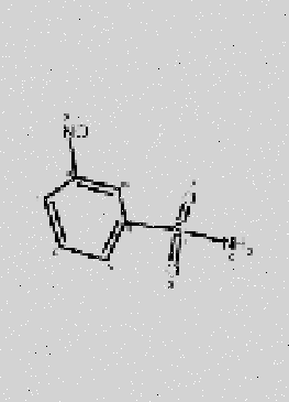 NS(=O)(=O)c1cccc(N=O)c1